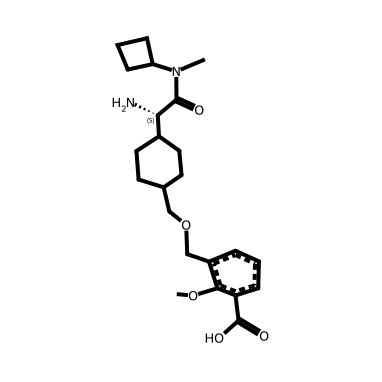 COc1c(COCC2CCC([C@H](N)C(=O)N(C)C3CCC3)CC2)cccc1C(=O)O